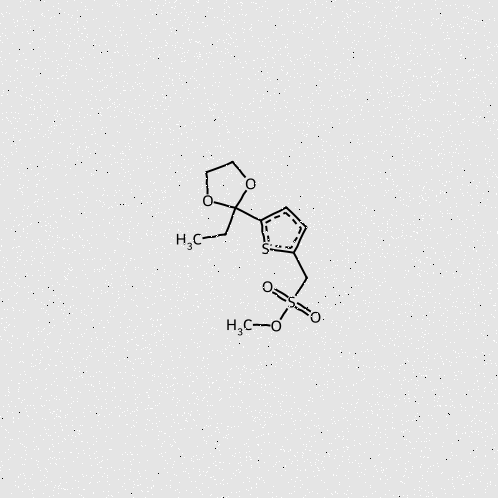 CCC1(c2ccc(CS(=O)(=O)OC)s2)OCCO1